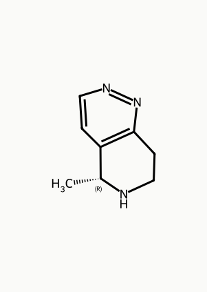 C[C@H]1NCCc2nnccc21